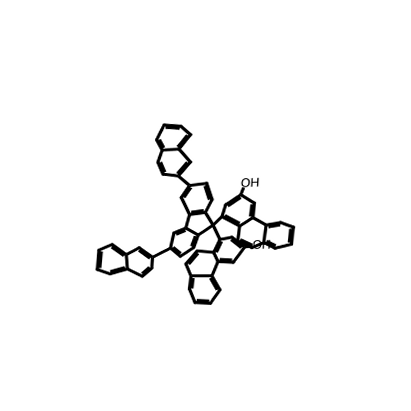 Oc1cc(C2(c3cc(O)cc4c3ccc3ccccc34)c3ccc(-c4ccc5ccccc5c4)cc3-c3cc(-c4ccc5ccccc5c4)ccc32)c2ccc3ccccc3c2c1